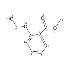 COC(=O)c1ccccc1OCO